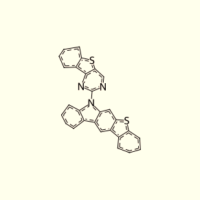 c1ccc2c(c1)sc1cc3c(cc12)c1ccccc1n3-c1ncc2sc3ccccc3c2n1